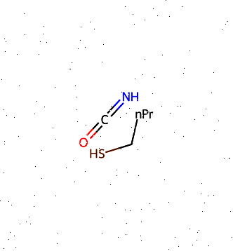 CCCCS.N=C=O